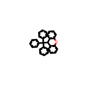 c1ccc(C(c2ccccc2)(c2ccccc2)C2c3ccccc3Oc3ccccc32)cc1